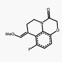 COC=C1CCN2C(=O)COc3ccc(F)c1c32